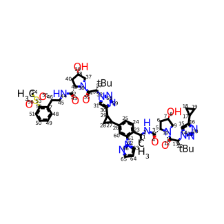 CC(NC(=O)[C@@H]1C[C@@H](O)CN1C(=O)[C@@H](n1cc(C2CC2)nn1)C(C)(C)C)c1ccc(C2CC2c2cn([C@H](C(=O)N3C[C@H](O)C[C@H]3C(=O)NCCc3ccccc3S(C)(=O)=O)C(C)(C)C)nn2)cc1-n1cccn1